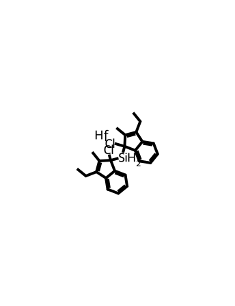 CCC1=C(C)C(Cl)([SiH2]C2(Cl)C(C)=C(CC)c3ccccc32)c2ccccc21.[Hf]